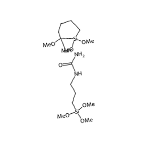 CCCC1(OC)CCCC[Si]1(OC)OC.CO[Si](CCCNC(N)=O)(OC)OC